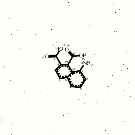 Nc1cccc2ccc(C(=O)O)c(C(=O)O)c12